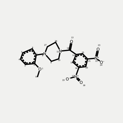 COc1ccccc1N1CCN(C(=O)c2cc([N+](=O)[O-])cc([N+](=O)[O-])c2)CC1